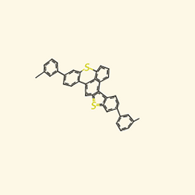 Cc1cccc(-c2ccc3c(c2)Sc2cccc4c2c-3cc2sc3cc(-c5cccc(C)c5)ccc3c24)c1